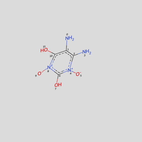 Nc1c(N)[n+]([O-])c(O)[n+]([O-])c1O